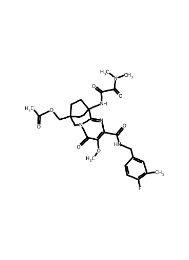 COc1c(C(=O)NCc2ccc(F)c(C)c2)nc2n(c1=O)CC1(COC(C)=O)CCC2(NC(=O)C(=O)N(C)C)CC1